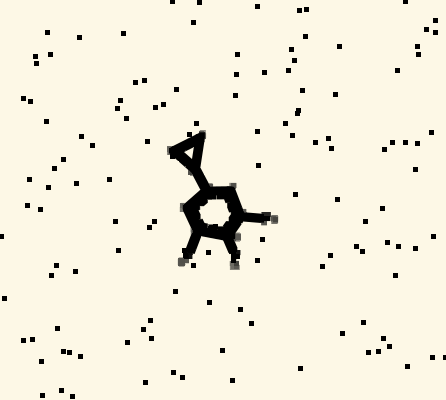 Fc1[c]c(C2CC2)cc(F)c1F